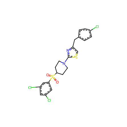 O=S(=O)(c1cc(Cl)cc(Cl)c1)C1CCN(c2nc(Cc3ccc(Cl)cc3)cs2)CC1